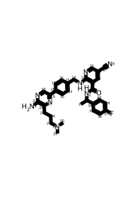 CC(NC(=O)c1cc(C#N)cnc1NCc1ccc(-c2cnc(N)c(CCCN(C)C)n2)cc1)c1ccc(F)cc1